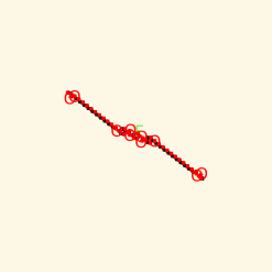 C=CC(=O)OCCCCCCCCCCCCCCCCCCCCOc1ccc(C(=O)Oc2ccc(OC(=O)c3ccc(OCCCCCCCCCCCCCCCCCCCCOC(=O)C=C)cc3)c(F)c2)cc1